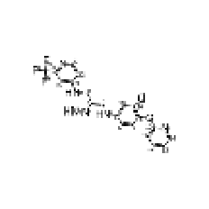 N=N/C(=C\Nc1ccc(Oc2ccccn2)c(Cl)c1)CNc1ccnc(C(F)(F)F)c1